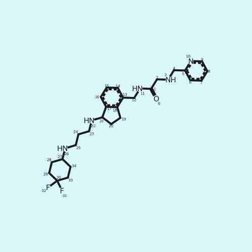 O=C(CNCc1ccccn1)NCc1cccc2c1CCC2NCCCNC1CCC(F)(F)CC1